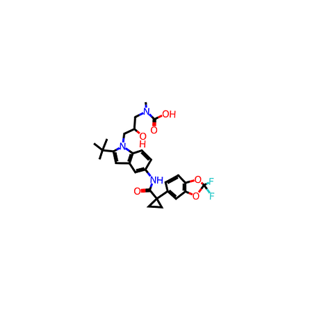 CN(CC(O)Cn1c(C(C)(C)C)cc2cc(NC(=O)C3(c4ccc5c(c4)OC(F)(F)O5)CC3)ccc21)C(=O)O